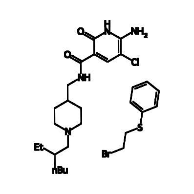 BrCCSc1ccccc1.CCCCC(CC)CN1CCC(CNC(=O)c2cc(Cl)c(N)[nH]c2=O)CC1